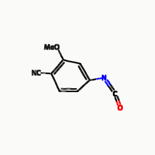 COc1cc(N=C=O)ccc1C#N